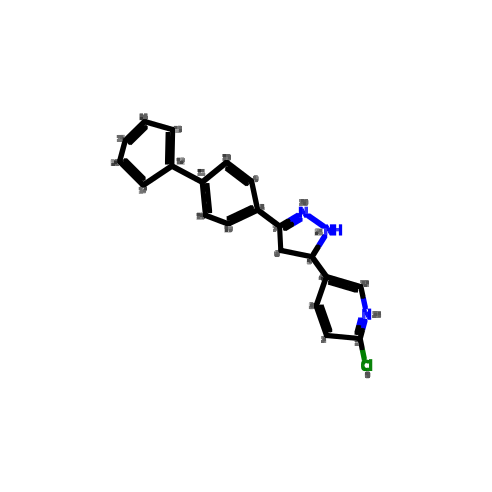 Clc1ccc(C2CC(c3ccc(-c4ccccc4)cc3)=NN2)cn1